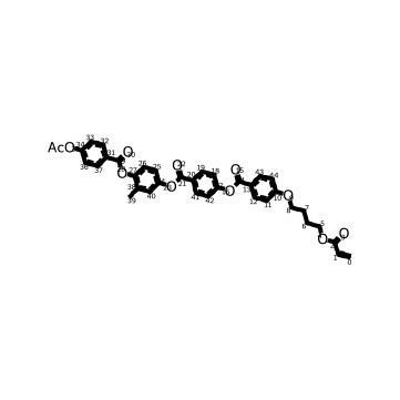 C=CC(=O)OCCCCOc1ccc(C(=O)Oc2ccc(C(=O)Oc3ccc(OC(=O)c4ccc(OC(C)=O)cc4)c(C)c3)cc2)cc1